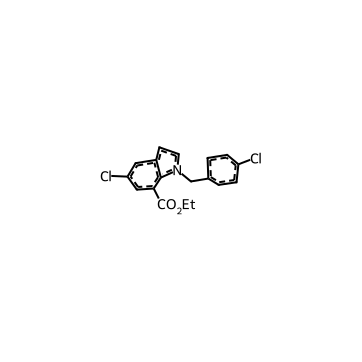 CCOC(=O)c1cc(Cl)cc2ccn(Cc3ccc(Cl)cc3)c12